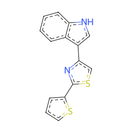 c1csc(-c2nc(-c3c[nH]c4ccccc34)cs2)c1